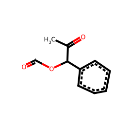 CC(=O)C(O[C]=O)c1ccccc1